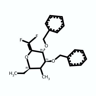 CC[C@H]1OC(=C(F)F)[C@H](OCc2ccccc2)[C@@H](OCc2ccccc2)C1C